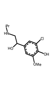 COc1cc(C(O)CNC(C)C)cc(Cl)c1O